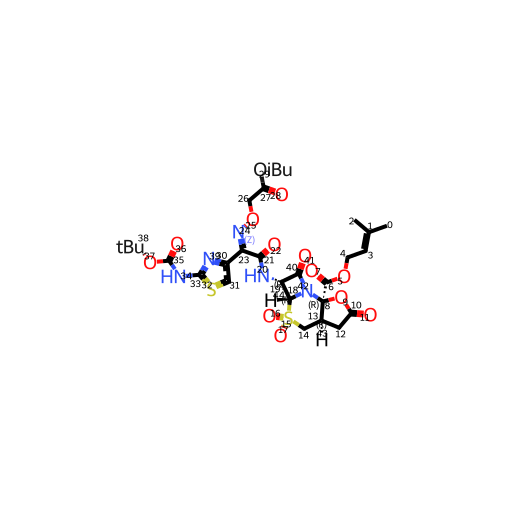 CC(C)=CCOC(=O)[C@]12OC(=O)C[C@H]1CS(=O)(=O)[C@@H]1[C@H](NC(=O)/C(=N\OCC(=O)OCC(C)C)c3csc(NC(=O)OC(C)(C)C)n3)C(=O)N12